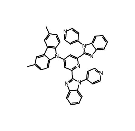 Cc1ccc2c(c1)c1cc(C)ccc1n2-c1cc(-c2nc3ccccc3n2-c2ccncc2)nc(-c2nc3ccccc3n2-c2ccncc2)c1